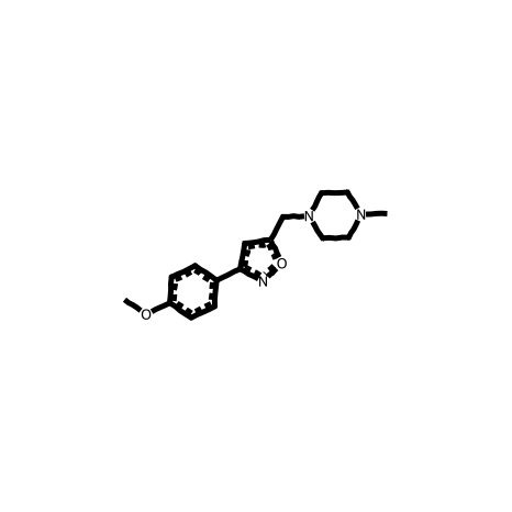 COc1ccc(-c2cc(CN3CCN(C)CC3)on2)cc1